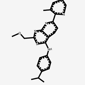 COCc1nc(Nc2ccc(C(C)C)cc2)c2ccc(-c3ncccc3C)nc2n1